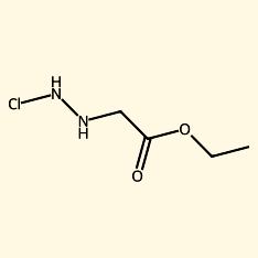 CCOC(=O)CNNCl